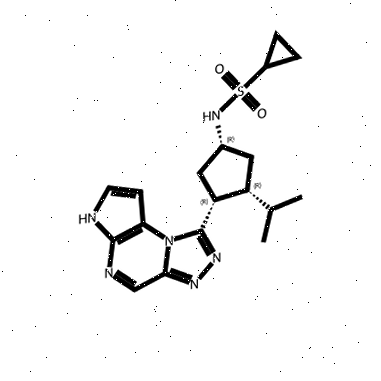 CC(C)[C@H]1C[C@@H](NS(=O)(=O)C2CC2)C[C@H]1c1nnc2cnc3[nH]ccc3n12